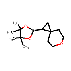 CC1(C)OB(C2CC23CCOCC3)OC1(C)C